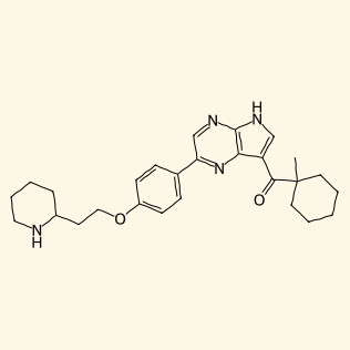 CC1(C(=O)c2c[nH]c3ncc(-c4ccc(OCCC5CCCCN5)cc4)nc23)CCCCC1